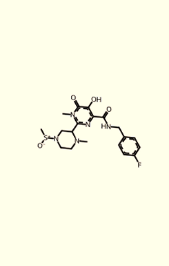 CN1CCN([S+](C)[O-])CC1c1nc(C(=O)NCc2ccc(F)cc2)c(O)c(=O)n1C